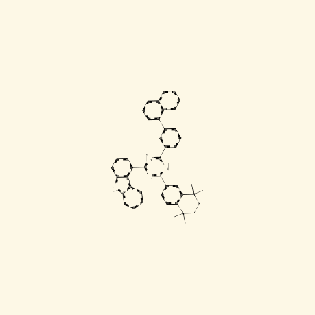 CC1(C)CCC(C)(C)c2cc(-c3nc(-c4cccc(-c5cccc6ccccc56)c4)nc(-c4cccc5sc6ccccc6c45)n3)ccc21